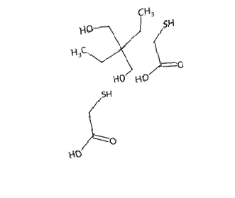 CCC(CC)(CO)CO.O=C(O)CS.O=C(O)CS